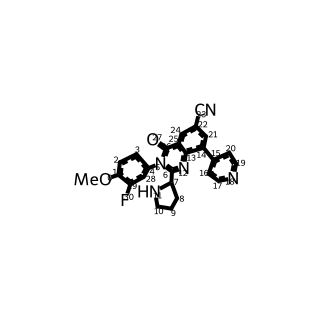 COc1ccc(-n2c(C3CCCN3)nc3c(-c4ccncc4)cc(C#N)cc3c2=O)cc1F